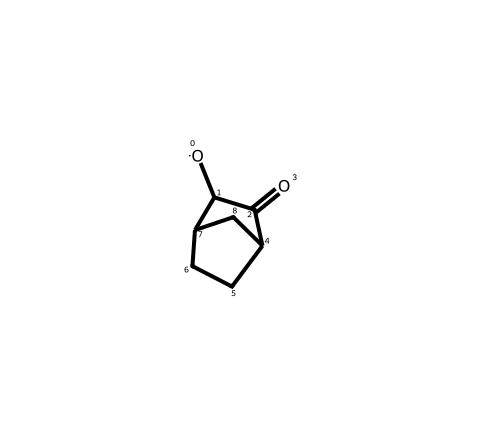 [O]C1C(=O)C2CCC1C2